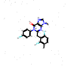 Cc1ccc(F)c(Cc2nc3c(ncn3C)c(=O)n2-c2ccc(F)cc2)c1F